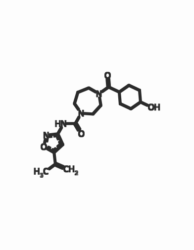 C=C(C)c1cc(NC(=O)N2CCCN(C(=O)C3CCC(O)CC3)CC2)no1